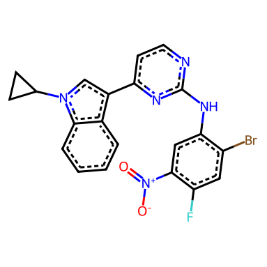 O=[N+]([O-])c1cc(Nc2nccc(-c3cn(C4CC4)c4ccccc34)n2)c(Br)cc1F